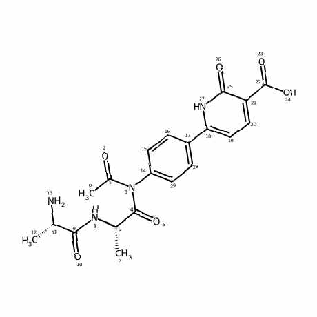 CC(=O)N(C(=O)[C@H](C)NC(=O)[C@H](C)N)c1ccc(-c2ccc(C(=O)O)c(=O)[nH]2)cc1